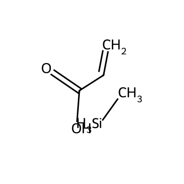 C=CC(=O)O.C[SiH3]